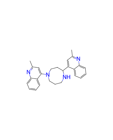 Cc1cc(C2CCN(c3cc(C)nc4ccccc34)CCCN2)c2ccccc2n1